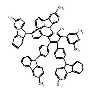 Cc1ccc2c(c1)c1ccccc1n2-c1ccc(-c2c(-c3cc(C)nc(C)c3)c(C#N)c(-n3c4ccccc4c4cc(C)ccc43)c(-c3ccc(-n4c5ccccc5c5cc(C)ccc54)cc3)c2-c2ccc(-n3c4ccccc4c4cc(C)ccc43)cc2)cc1